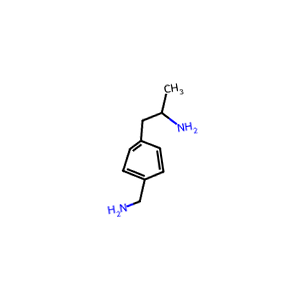 CC(N)Cc1ccc(CN)cc1